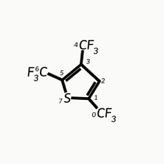 FC(F)(F)c1cc(C(F)(F)F)c(C(F)(F)F)s1